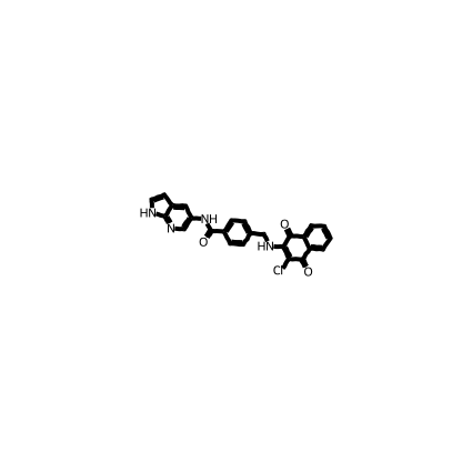 O=C(Nc1cnc2[nH]ccc2c1)c1ccc(CNC2=C(Cl)C(=O)c3ccccc3C2=O)cc1